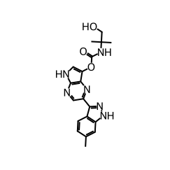 Cc1ccc2c(-c3cnc4[nH]cc(OC(=O)NC(C)(C)CO)c4n3)n[nH]c2c1